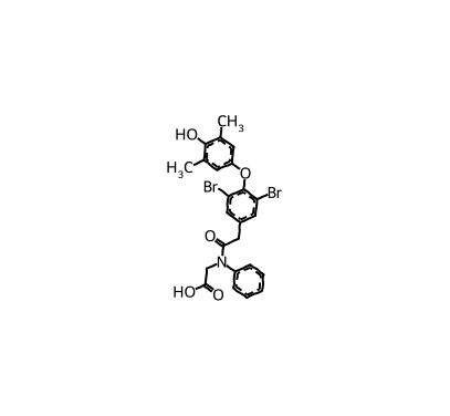 Cc1cc(Oc2c(Br)cc(CC(=O)N(CC(=O)O)c3ccccc3)cc2Br)cc(C)c1O